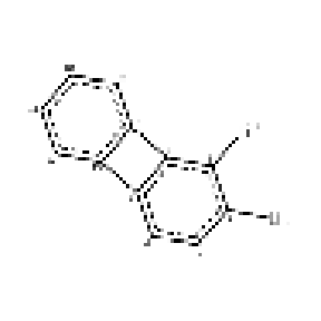 [Li][c]1ccc2c([c]1[Li])-c1ccccc1-2